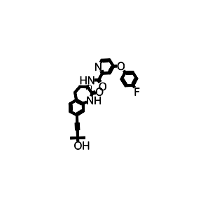 CC(C)(O)C#Cc1ccc2c(c1)NC(=O)[C@@H](NC(=O)c1cc(Oc3ccc(F)cc3)ccn1)CC2